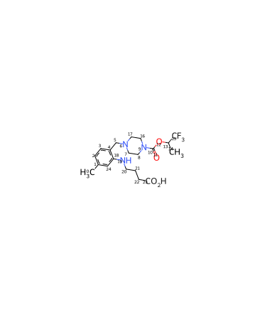 Cc1ccc(CN2CCN(C(=O)OC(C)C(F)(F)F)CC2)c(NCCCC(=O)O)c1